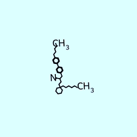 CCCCCCCC1(CCC(C#N)Cc2ccc(-c3ccc(CCCCC)cc3)cc2)CCCCC1